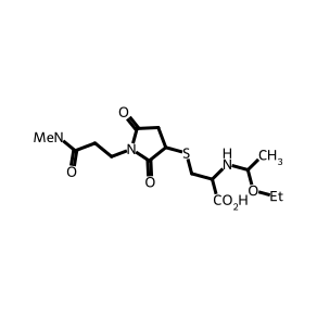 CCOC(C)NC(CSC1CC(=O)N(CCC(=O)NC)C1=O)C(=O)O